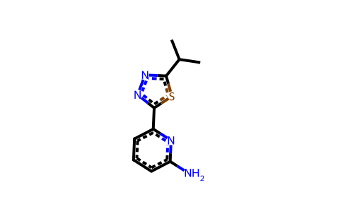 CC(C)c1nnc(-c2cccc(N)n2)s1